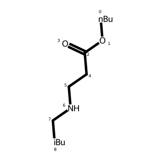 CCCCOC(=O)CCNCC(C)CC